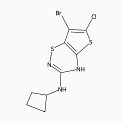 Clc1sc2c(c1Br)SN=C(NC1CCC1)N2